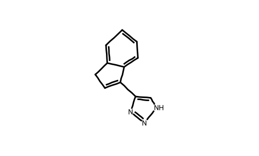 C1=C(c2c[nH]nn2)c2ccccc2C1